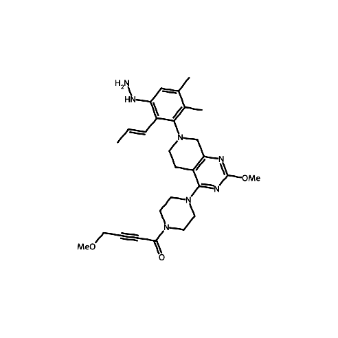 C/C=C/c1c(NN)cc(C)c(C)c1N1CCc2c(nc(OC)nc2N2CCN(C(=O)C#CCOC)CC2)C1